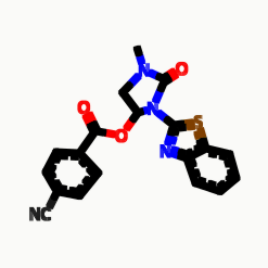 CN1CC(OC(=O)c2ccc(C#N)cc2)N(c2nc3ccccc3s2)C1=O